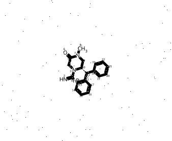 CCCCC(=N)N1CC(=O)N(C)C[C@@H]1C(c1ccccc1)c1ccccc1